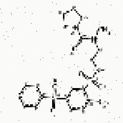 CN(CCNS(=O)(=O)c1cc(S(=O)(=O)c2ccccc2)ccc1C(F)(F)F)C(=O)N1CCCC1